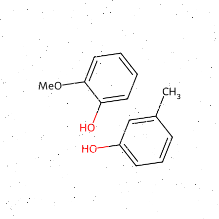 COc1ccccc1O.Cc1cccc(O)c1